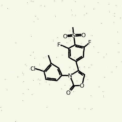 Cc1cc(-n2c(-c3cc(F)c(S(C)(=O)=O)c(F)c3)coc2=O)ccc1Cl